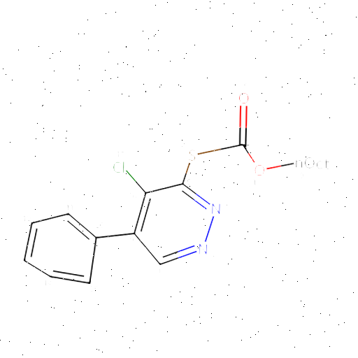 CCCCCCCCOC(=O)Sc1nncc(-c2ccccc2)c1Cl